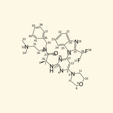 C[C@H](Nc1nc(N2CCOCC2)cc(-n2c(C(F)F)nc3ccccc32)n1)C(=O)N(CCN(C)C)Cc1ccccc1